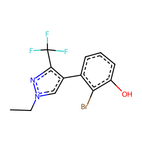 CCn1cc(-c2cccc(O)c2Br)c(C(F)(F)F)n1